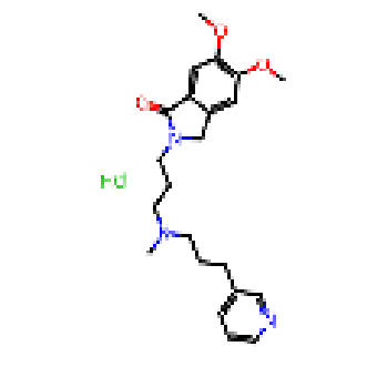 COc1cc2c(cc1OC)C(=O)N(CCCN(C)CCCc1cccnc1)C2.Cl